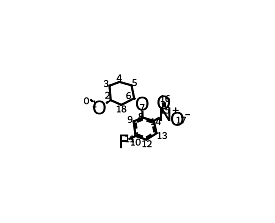 CO[C@H]1CCC[C@@H](Oc2cc(F)ccc2[N+](=O)[O-])C1